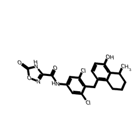 CC1CCCc2c(Cc3c(Cl)cc(NC(=O)c4noc(=O)[nH]4)cc3Cl)ccc(O)c21